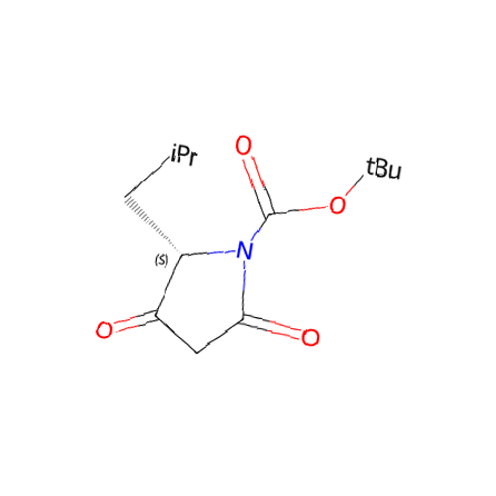 CC(C)C[C@H]1C(=O)CC(=O)N1C(=O)OC(C)(C)C